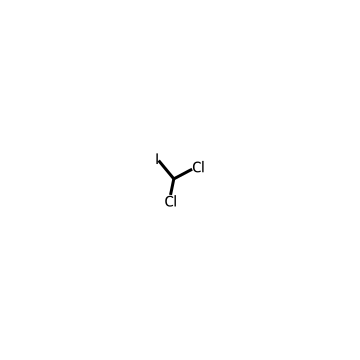 ClC(Cl)I